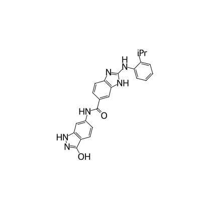 CC(C)c1ccccc1Nc1nc2ccc(C(=O)Nc3ccc4c(O)n[nH]c4c3)cc2[nH]1